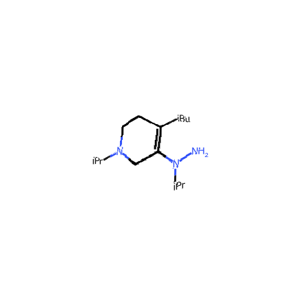 CCC(C)C1=C(N(N)C(C)C)CN(C(C)C)CC1